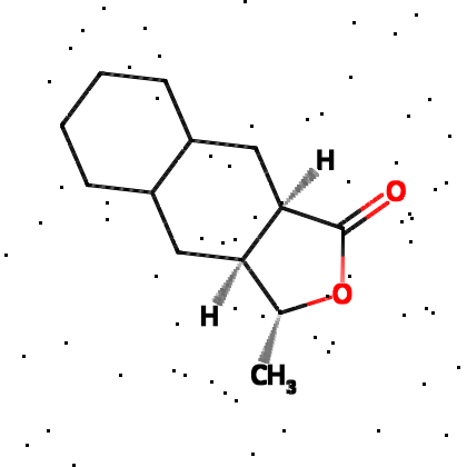 C[C@H]1OC(=O)[C@@H]2CC3CCCCC3C[C@H]12